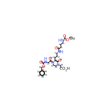 CC(C)(C)OC(=O)NCCCC(=O)NCCCC1C(=O)N(CC(=O)O)CCN1C(=O)CNC(=O)OCc1ccccc1